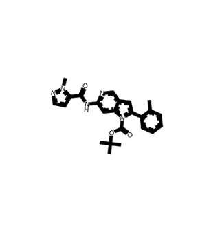 Cc1ccccc1-c1cc2cnc(NC(=O)c3ccnn3C)cc2n1C(=O)OC(C)(C)C